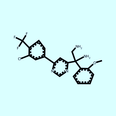 COc1ccccc1C(N)(CN)c1cc(-c2ccc(C(F)(F)F)c(Cl)c2)ncn1